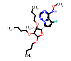 CCCCOC1O[C@@H](c2cc(F)c3c(NOC)ncnn23)[C@](C)(OCCCC)[C@@H]1OCCCC